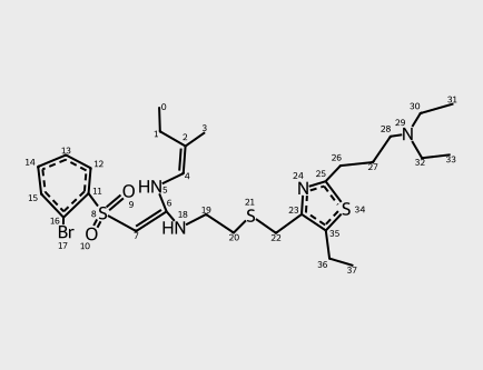 CCC(C)=CNC(=CS(=O)(=O)c1ccccc1Br)NCCSCc1nc(CCCN(CC)CC)sc1CC